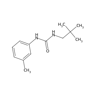 Cc1cccc(NC(=O)NCC(C)(C)C)c1